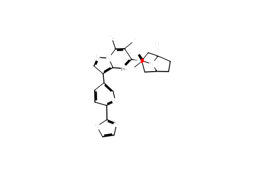 COC(=O)N1[C@@H]2CC[C@H]1C[C@@H](c1nc3c(-c4ccc(-c5ncc[nH]5)nc4)cnn3c(N)c1C(C)=O)C2